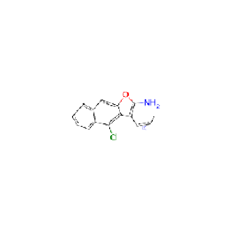 C/C=C\c1c(N)oc2cc3ccccc3c(Cl)c12